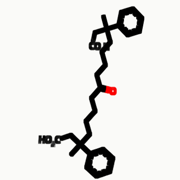 CC(CCCCC(=O)CCCCC(C)(CC(=O)O)c1ccccc1)(CC(=O)O)c1ccccc1